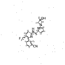 Cc1c(C#N)cccc1-c1nc(NSc2cccc(N3CC(C)(O)C3)n2)ccc1C(F)(F)F